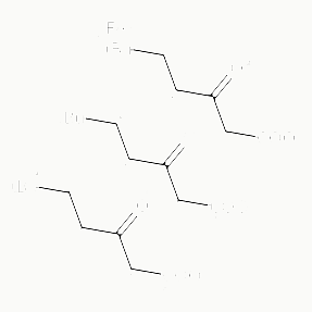 CC(C)(C)CCC(=O)CC(=O)[O-].CC(C)(C)CCC(=O)CC(=O)[O-].CC(C)(C)CCC(=O)CC(=O)[O-].[Fe+3]